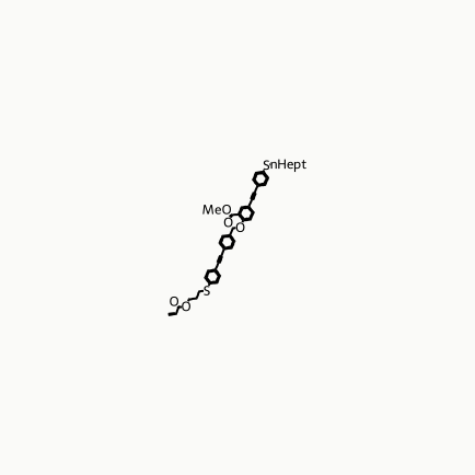 C=CC(=O)OCCCSc1ccc(C#Cc2ccc(COc3ccc(C#Cc4ccc(SCCCCCCC)cc4)cc3C(=O)OC)cc2)cc1